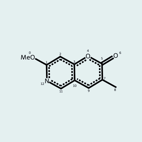 COc1cc2oc(=O)c(C)cc2cn1